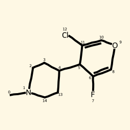 CN1CCC(C2C(F)=COC=C2Cl)CC1